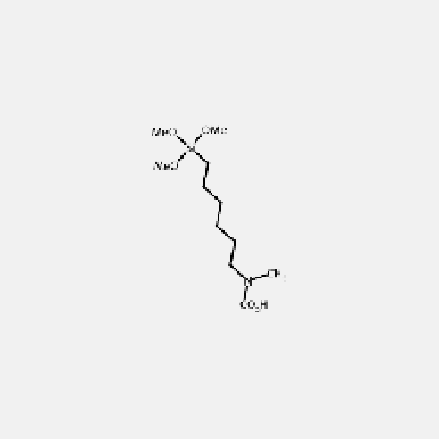 CO[Si](CCCCCCN(C)C(=O)O)(OC)OC